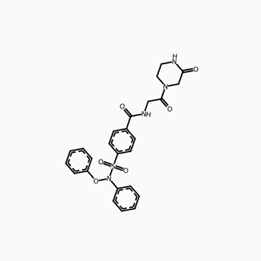 O=C1CN(C(=O)CNC(=O)c2ccc(S(=O)(=O)N(Oc3ccccc3)c3ccccc3)cc2)CCN1